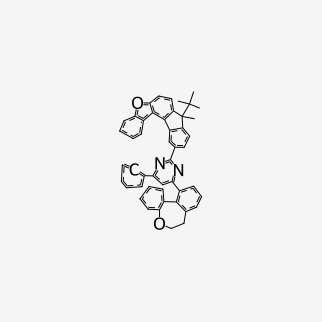 CC(C)(C)C1(C)c2ccc(-c3nc(-c4ccccc4)cc(-c4cccc5c4-c4ccccc4OCC5)n3)cc2-c2c1ccc1oc3ccccc3c21